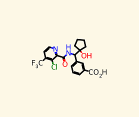 O=C(O)c1cccc(C(NC(=O)c2nccc(C(F)(F)F)c2Cl)C2(O)CCCC2)c1